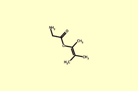 CC(C)=C(C)OC(=O)CN